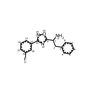 NC(Cc1ccccc1)c1nc(-c2cccc(F)c2)no1